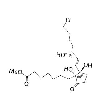 COC(=O)CCCCCC[C@]1(O)C(=O)CC[C@@]1(O)C=C[C@H](O)CCCCCl